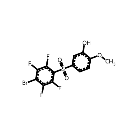 COc1ccc(S(=O)(=O)c2c(F)c(F)c(Br)c(F)c2F)cc1O